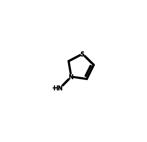 [NH]N1C=CSC1